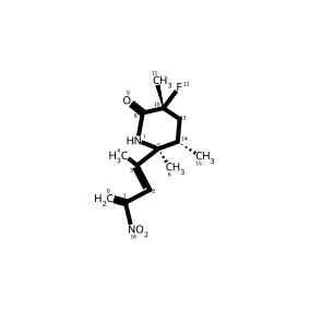 C=C(/C=C(\C)[C@@]1(C)NC(=O)[C@](C)(F)C[C@@H]1C)[N+](=O)[O-]